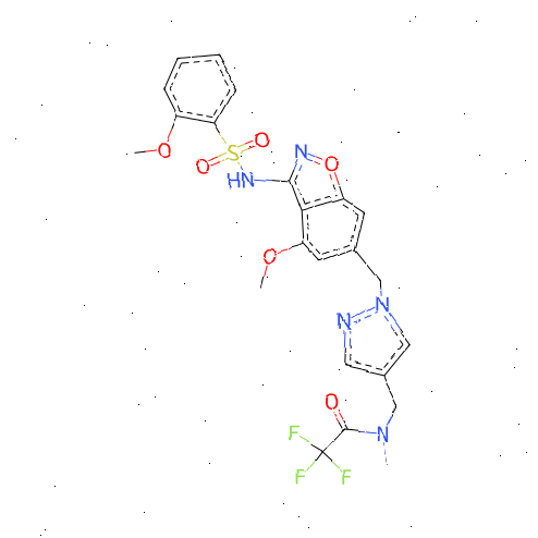 COc1ccccc1S(=O)(=O)Nc1noc2cc(Cn3cc(CN(C)C(=O)C(F)(F)F)cn3)cc(OC)c12